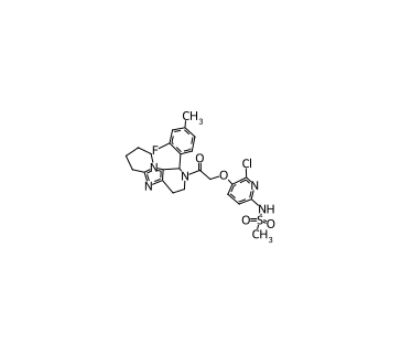 Cc1ccc(C2c3c(nc4n3CCCC4)CCN2C(=O)COc2ccc(NS(C)(=O)=O)nc2Cl)c(F)c1